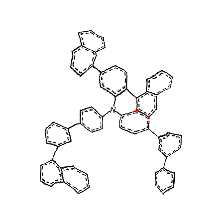 c1ccc(-c2cccc(-c3ccc(N(c4ccc(-c5cccc(-c6cccc7ccccc67)c5)cc4)c4cc(-c5cccc6ccccc56)ccc4-c4cccc5ccccc45)cc3)c2)cc1